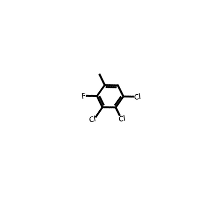 Cc1cc(Cl)c(Cl)c(Cl)c1F